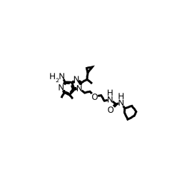 Cc1nc(N)c2nc(C(C)C3CC3)n(CCOCCNC(=O)NC3CCCCC3)c2c1C